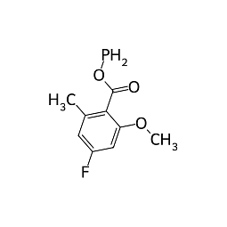 COc1cc(F)cc(C)c1C(=O)OP